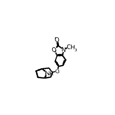 Cn1c(=O)oc2cc(OC3CC4CCC(C3)N4)ccc21